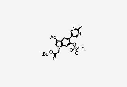 CC(=O)c1cn(CC(=O)OC(C)(C)C)c2cc(OS(=O)(=O)C(F)(F)F)c(-c3cnc(C)nc3)cc12